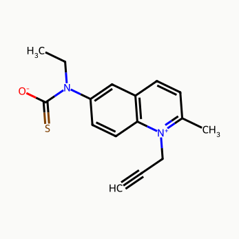 C#CC[n+]1c(C)ccc2cc(N(CC)C([O-])=S)ccc21